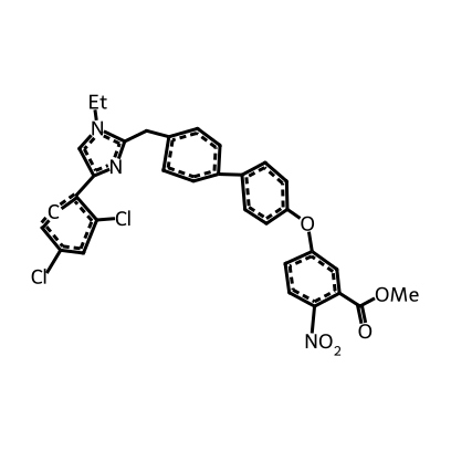 CCn1cc(-c2ccc(Cl)cc2Cl)nc1Cc1ccc(-c2ccc(Oc3ccc([N+](=O)[O-])c(C(=O)OC)c3)cc2)cc1